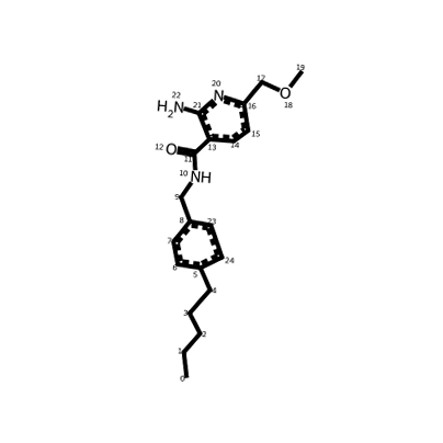 CCCCCc1ccc(CNC(=O)c2ccc(COC)nc2N)cc1